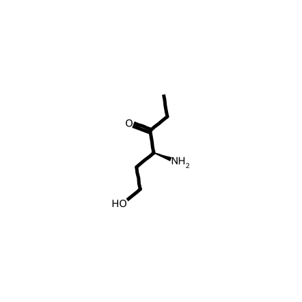 CCC(=O)[C@@H](N)CCO